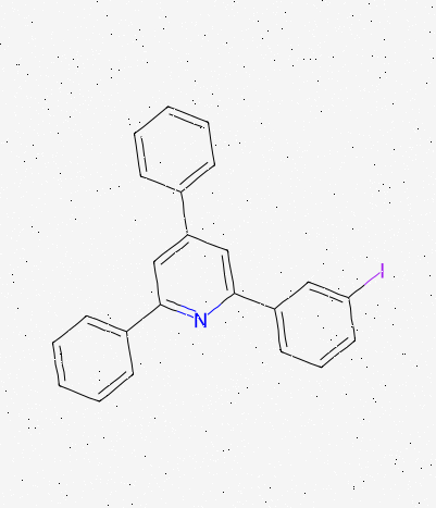 Ic1cccc(-c2cc(-c3ccccc3)cc(-c3ccccc3)n2)c1